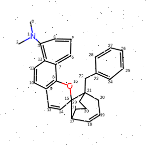 CN(C)c1cccc2c3c(ccc12)C=CC1(O3)C2C=CCC1(Cc1ccccc1)CCC2